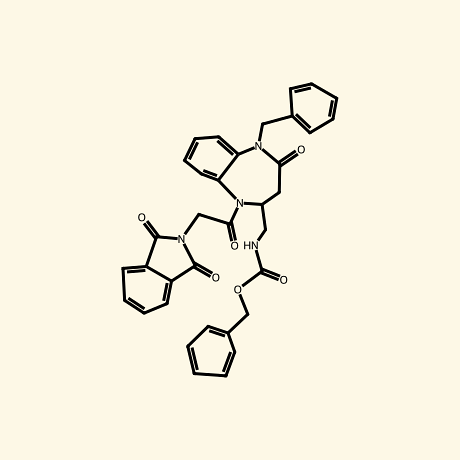 O=C(NCC1CC(=O)N(Cc2ccccc2)c2ccccc2N1C(=O)CN1C(=O)c2ccccc2C1=O)OCc1ccccc1